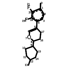 Cc1ccc(C2=COC(C3CCC(C)CC3)CC2)c(F)c1F